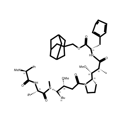 CC[C@H](C)[C@@H]([C@@H](CC(=O)N1CCC[C@H]1[C@H](OC)[C@@H](C)C(=O)N[C@@H](Cc1ccccc1)C(=O)OCC12CC3CC(CC(C3)C1)C2)OC)N(C)C(=O)[C@@H](NC(=O)[C@@H](NC)C(C)C)C(C)C